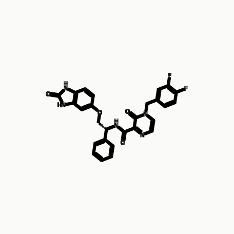 O=C(N[C@@H](COc1ccc2[nH]c(=O)[nH]c2c1)c1ccccc1)c1nccn(Cc2ccc(F)c(F)c2)c1=O